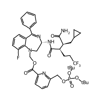 CC(C)(C)OP(=O)(OCc1cccc(C(=O)OCN2C[C@@H](NC(=O)[C@H](CCC(F)(F)F)[C@H](CC3CC3)C(N)=O)N=C(c3ccccc3)c3cccc(F)c32)n1)OC(C)(C)C